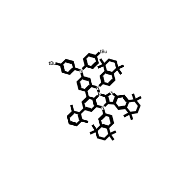 Cc1cccc(C)c1-c1cc2c3c(c1)N(c1ccc4c(c1)C(C)(C)CCC4(C)C)c1c(sc4cc5c(cc14)C(C)(C)CCC5(C)C)B3N(c1ccc3c(c1)C(C)(C)CCC3(C)C)c1cc(N(c3ccc(C(C)(C)C)cc3)c3ccc(C(C)(C)C)cc3)ccc1-2